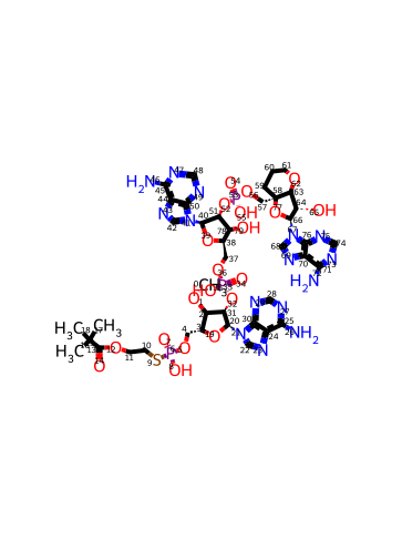 COC1[C@@H](COP(=O)(O)SCCOC(=O)C(C)(C)C)O[C@@H](n2cnc3c(N)ncnc32)[C@H]1OP(=O)(O)OC[C@H]1O[C@@H](n2cnc3c(N)ncnc32)[C@@H](OP(=O)(O)OC[C@]23CCCOC2[C@H](O)[C@H](n2cnc4c(N)ncnc42)O3)C1O